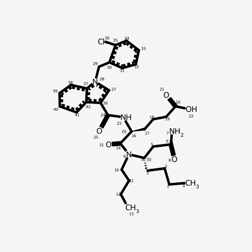 CCCC[C@@H](CC(N)=O)N(CCCC)C(=O)[C@H](CCCC(=O)O)NC(=O)c1cn(Cc2ccccc2Cl)c2ccccc12